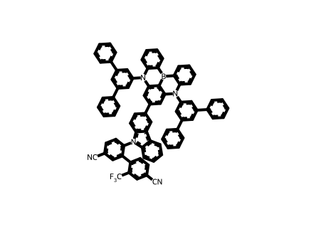 N#Cc1ccc(-n2c3ccccc3c3cc(-c4cc5c6c(c4)N(c4cc(-c7ccccc7)cc(-c7ccccc7)c4)c4ccccc4B6c4ccccc4N5c4cc(-c5ccccc5)cc(-c5ccccc5)c4)ccc32)c(-c2ccc(C#N)cc2C(F)(F)F)c1